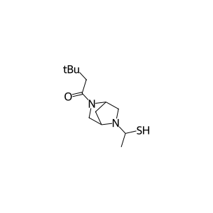 CC(S)N1CC2CC1CN2C(=O)CC(C)(C)C